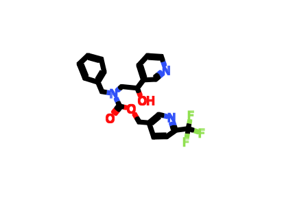 O=C(OCc1ccc(C(F)(F)F)nc1)N(Cc1ccccc1)CC(O)c1cccnc1